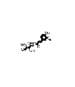 COc1cc(C=CC(=O)OC[C@@H](O)[C@@H](O)[C@H](O)C=O)ccc1O